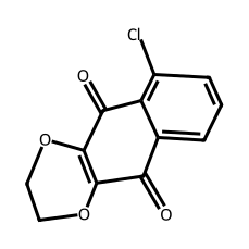 O=C1C2=C(OCCO2)C(=O)c2c(Cl)cccc21